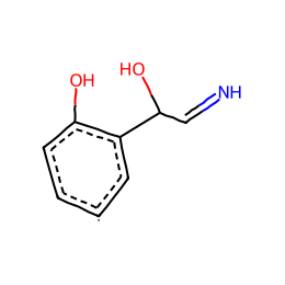 N=CC(O)c1c[c]ccc1O